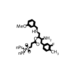 CCCN(CCC)S(=O)(=O)CCC(=O)OC(CNCc1cccc(OC)c1)C(N)Cc1ccc(C)c(F)c1